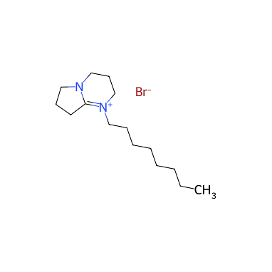 CCCCCCCC[N+]1=C2CCCN2CCC1.[Br-]